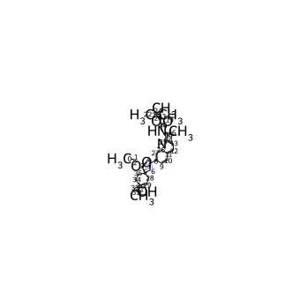 CCOC(=O)C1(/C=C/c2ccc3ccc([C@@H](C)NC(=O)OC(C)(C)C)nc3c2)CCC(O)(CC)CC1